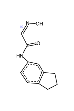 O=C(/C=N\O)Nc1ccc2c(c1)CCC2